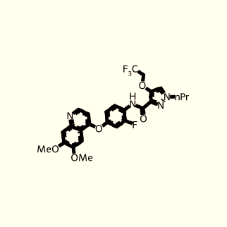 CCCn1cc(OCC(F)(F)F)c(C(=O)Nc2ccc(Oc3ccnc4cc(OC)c(OC)cc34)cc2F)n1